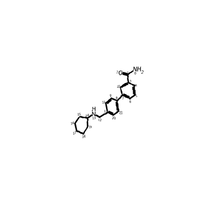 NC(=O)c1cccc(-c2ccc(CNC3CCCCC3)cc2)c1